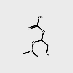 CCCC(=O)OC(CC(C)C)O[SiH](C)C